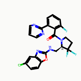 O=C(c1c(F)cccc1-c1ncccn1)N1CCC(F)(F)[C@H]1CNc1nc2cc(Cl)ccc2o1